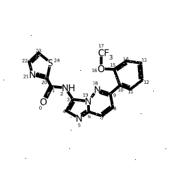 O=C(Nc1cnc2ccc(-c3ccccc3OC(F)(F)F)nn12)c1nccs1